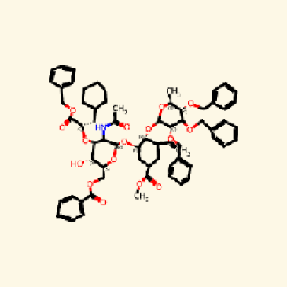 C=CC1CC(C(=O)OC)C[C@@H](O[C@@H]2O[C@@H](COC(=O)c3ccccc3)[C@H](O)C(O[C@@H](CC3CCCCC3)C(=O)OCc3ccccc3)C2NC(C)=O)[C@@H]1OC1O[C@@H](C)[C@H](OCc2ccccc2)C(OCc2ccccc2)[C@@H]1OCc1ccccc1